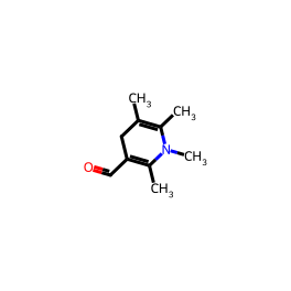 CC1=C(C)N(C)C(C)=C(C=O)C1